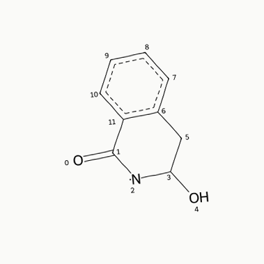 O=C1[N]C(O)Cc2ccccc21